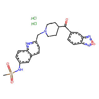 CS(=O)(=O)Nc1ccc2nc(CN3CCC(C(=O)c4ccc5nonc5c4)CC3)ccc2c1.Cl.Cl